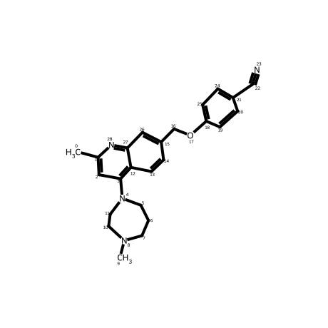 Cc1cc(N2CCCN(C)CC2)c2ccc(COc3ccc(C#N)cc3)cc2n1